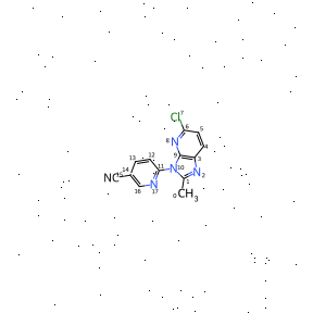 Cc1nc2ccc(Cl)nc2n1-c1ccc(C#N)cn1